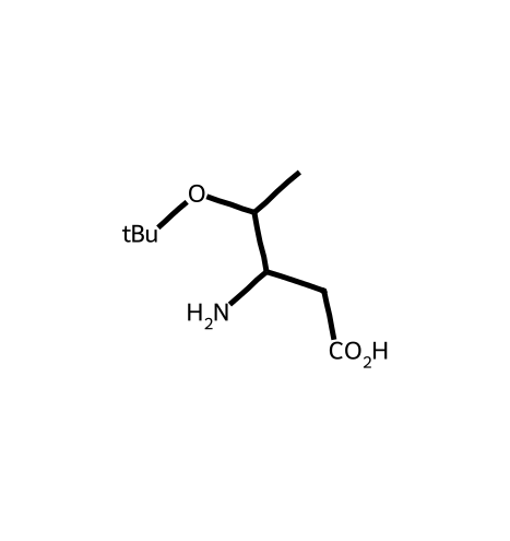 CC(OC(C)(C)C)C(N)CC(=O)O